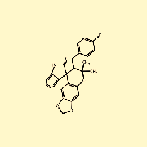 CC1(C)Oc2cc3c(cc2C2(C(=O)Nc4ccccc42)C1Cc1ccc(F)cc1)OCO3